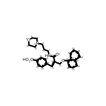 O=C(NCCCN1CCOCC1)C(=Cc1ccc(C(=O)O)cc1)COc1cccc2ccccc12